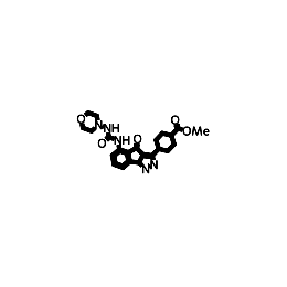 COC(=O)C1CCC(C2=C3C(=O)c4c(NC(=O)NN5CCOCC5)cccc4C3N=N2)CC1